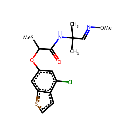 CO/N=C/C(C)(C)NC(=O)C(Oc1cc(Cl)c2ccsc2c1)SC